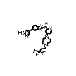 FC(F)(F)CCN1CCN(c2ccnc(Nc3nc4ccc(-c5cn[nH]c5)cc4s3)c2)CC1